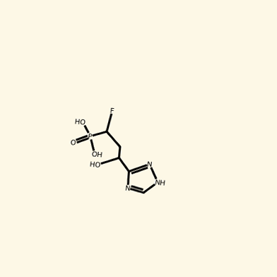 O=P(O)(O)C(F)CC(O)c1nc[nH]n1